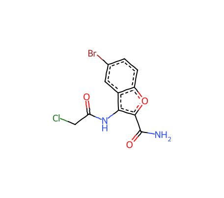 NC(=O)c1oc2ccc(Br)cc2c1NC(=O)CCl